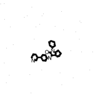 O=C1/C(=N\c2ccc(-c3cccnc3)cc2)c2ccccc2N1c1ccccc1